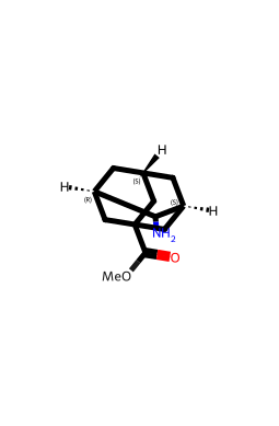 COC(=O)C12C[C@@H]3C[C@H](C1)C(N)[C@@H](C3)C2